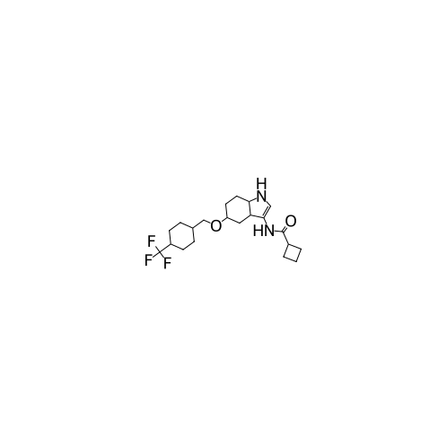 O=C(NC1=CNC2CCC(OCC3CCC(C(F)(F)F)CC3)CC12)C1CCC1